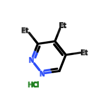 CCc1cnnc(CC)c1CC.Cl